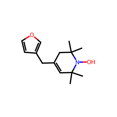 CC1(C)C=C(Cc2ccoc2)CC(C)(C)N1O